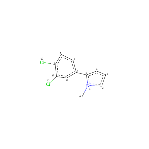 Cn1c[c]cc1-c1ccc(Cl)c(Cl)c1